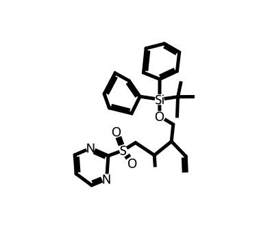 C=CC(CO[Si](c1ccccc1)(c1ccccc1)C(C)(C)C)C(C)CS(=O)(=O)c1ncccn1